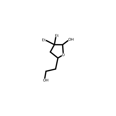 CCC1(CC)CC(CCO)OC1O